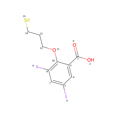 O=C(O)c1cc(I)cc(I)c1OCCCS